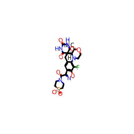 C[C@@H]1OCCN2c3c(cc4c(C(=O)N5CCS(=O)(=O)CC5)noc4c3F)CC3(C(=O)NC(=O)NC3=O)[C@@H]12